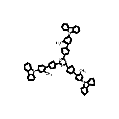 Cc1cc(-n2c3ccccc3c3ccccc32)ccc1-c1ccc(-c2nc(-c3ccc(-c4ccc(-n5c6ccccc6c6ccccc65)cc4C)cc3)nc(-c3ccc(-c4ccc(-n5c6ccccc6c6ccccc65)cc4C)cc3)n2)cc1